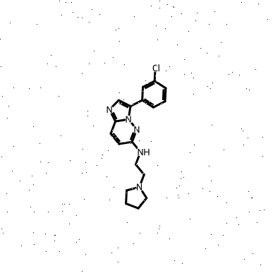 Clc1cccc(-c2cnc3ccc(NCCN4CCCC4)nn23)c1